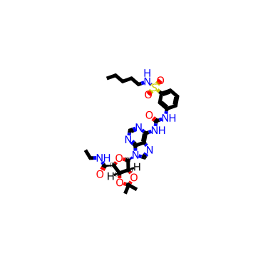 CCCCCNS(=O)(=O)c1cccc(NC(=O)Nc2ncnc3c2ncn3[C@@H]2O[C@H](C(=O)NCC)[C@H]3OC(C)(C)O[C@H]32)c1